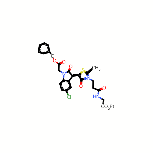 C=c1s/c(=C2\C(=O)N(CC(=O)OCc3ccccc3)c3ccc(Cl)cc32)c(=O)n1CCC(=O)NCC(=O)OCC